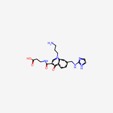 NCCCn1cc(C(=O)NCCC(=O)O)c(=O)c2ccc(CNc3ncc[nH]3)cc21